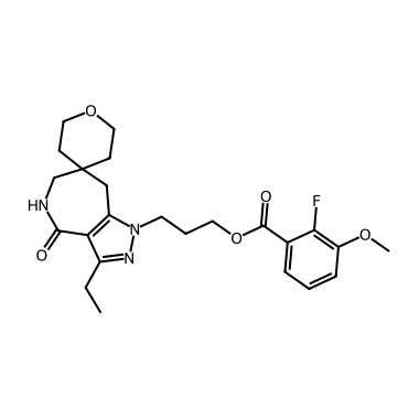 CCc1nn(CCCOC(=O)c2cccc(OC)c2F)c2c1C(=O)NCC1(CCOCC1)C2